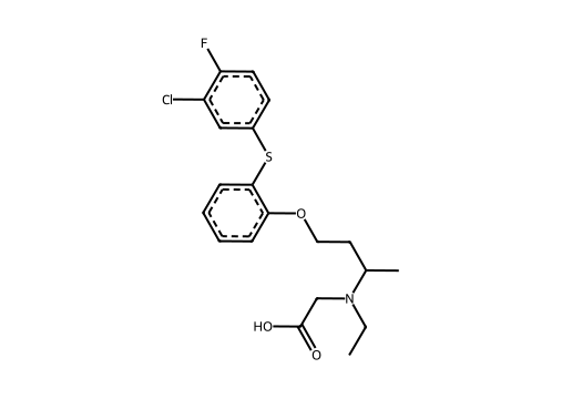 CCN(CC(=O)O)C(C)CCOc1ccccc1Sc1ccc(F)c(Cl)c1